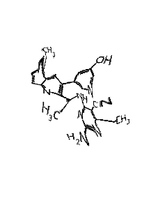 Cc1nc(N)nc(N[C@@H](C)c2nc3ccn(C)c3cc2-c2cncc(O)c2)c1C#N